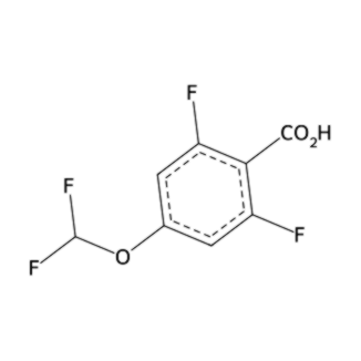 O=C(O)c1c(F)cc(OC(F)F)cc1F